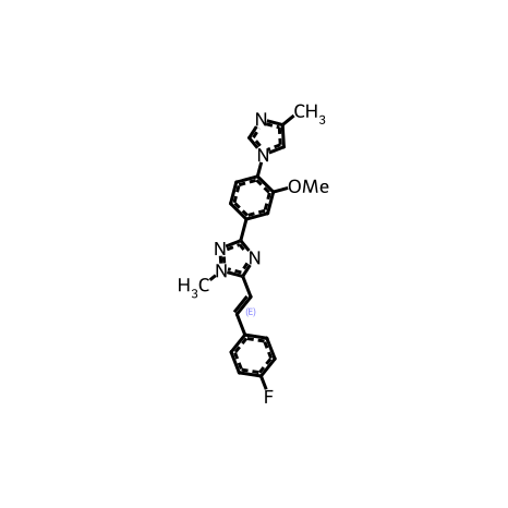 COc1cc(-c2nc(/C=C/c3ccc(F)cc3)n(C)n2)ccc1-n1cnc(C)c1